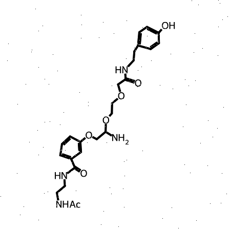 CC(=O)NCCNC(=O)c1cccc(OCC(N)OCCOCC(=O)NCCc2ccc(O)cc2)c1